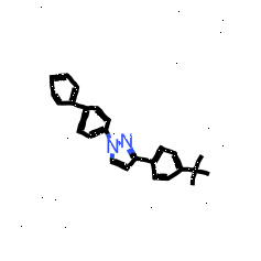 CC(C)(C)c1ccc(-c2ccn(-c3ccc(-c4ccccc4)cc3)n2)cc1